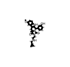 COc1ccc2[nH]c3c(c2c1)CC1(C)C(=O)N(CCNCC2CC2)C(=O)N1C3c1cccc(O)c1